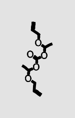 C=CCOC(C)OC(=O)OC(C)OCC=C